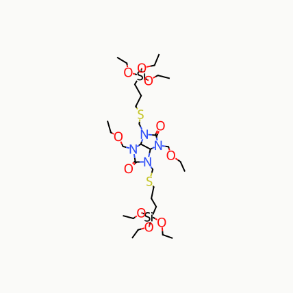 CCOCN1C(=O)N(CSCCC[Si](OCC)(OCC)OCC)C2C1N(CSCCC[Si](OCC)(OCC)OCC)C(=O)N2COCC